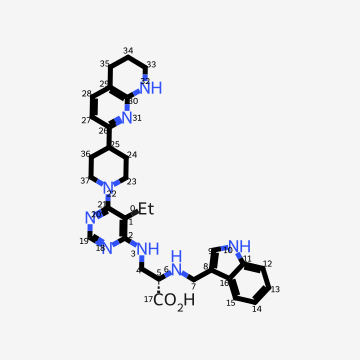 CCc1c(NC[C@H](NCc2c[nH]c3ccccc23)C(=O)O)ncnc1N1CCC(c2ccc3c(n2)NCCC3)CC1